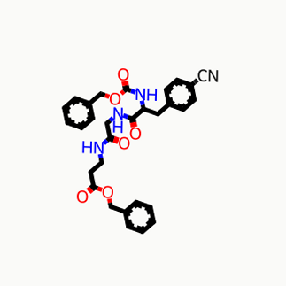 N#Cc1ccc(CC(NC(=O)OCc2ccccc2)C(=O)NCC(=O)NCCC(=O)OCc2ccccc2)cc1